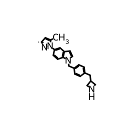 Cc1c[c]nn1-c1ccc2c(ccn2Cc2ccc(CC3CNC3)cc2)c1